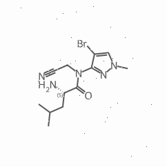 CC(C)C[C@H](N)C(=O)N(CC#N)c1nn(C)cc1Br